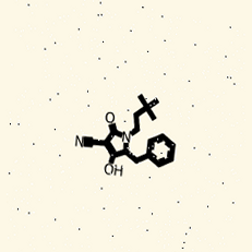 CC(C)(C)CCN1C(=O)C(C#N)=C(O)C1Cc1ccccc1